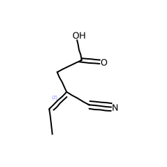 C/C=C(\C#N)CC(=O)O